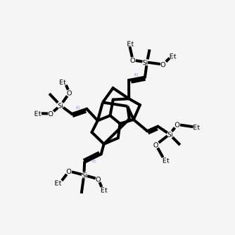 CCO[Si](C)(C=CC12CC3(/C=C/[Si](C)(OCC)OCC)CC4C1CC1(/C=C/[Si](C)(OCC)OCC)CC2C(C3)C4(/C=C/[Si](C)(OCC)OCC)C1)OCC